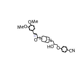 COc1ccc(/C=C/C(=O)N2CC3CC(CN(CC(O)COc4ccc(C#N)cc4)C3)C2)cc1OC